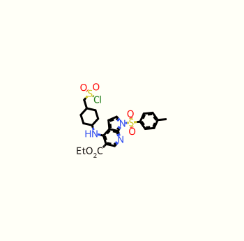 CCOC(=O)c1cnc2c(ccn2S(=O)(=O)c2ccc(C)cc2)c1NC1CCC(CS(=O)(=O)Cl)CC1